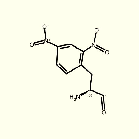 N[C@H]([C]=O)Cc1ccc([N+](=O)[O-])cc1[N+](=O)[O-]